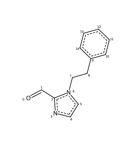 O=Cc1nccn1CCc1ccccc1